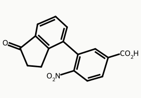 O=C(O)c1ccc([N+](=O)[O-])c(-c2cccc3c2CCC3=O)c1